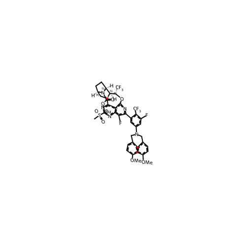 COc1ccc(CN(Cc2ccc(OC)cc2)c2cc(F)c(C(F)(F)F)c(-c3nc4c5c(nc(S(C)(=O)=O)nc5c3F)N3C[C@H]5CC[C@@H]([C@H]3[C@H](C(F)(F)F)O4)N5C(=O)OC(C)(C)C)c2)cc1